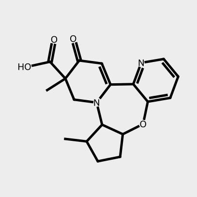 CC1CCC2Oc3cccnc3C3=CC(=O)C(C)(C(=O)O)CN3C12